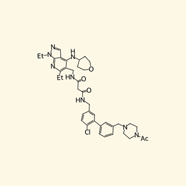 CCc1nc2c(cnn2CC)c(NC2CCOCC2)c1CNC(=O)CC(=O)NCc1ccc(Cl)c(-c2cccc(CN3CCN(C(C)=O)CC3)c2)c1